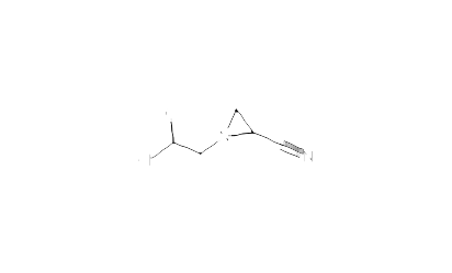 N#CC1CN1CC(Cl)Cl